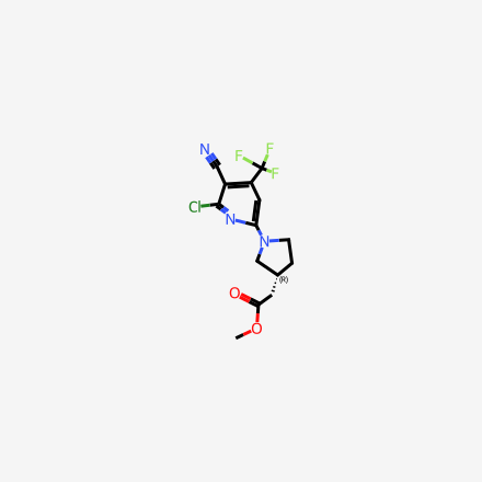 COC(=O)C[C@H]1CCN(c2cc(C(F)(F)F)c(C#N)c(Cl)n2)C1